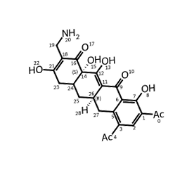 CC(=O)c1cc(C(C)=O)c2c(c1O)C(=O)C1=C(O)[C@]3(O)C(=O)C(CN)=C(O)CC3C[C@@H]1C2